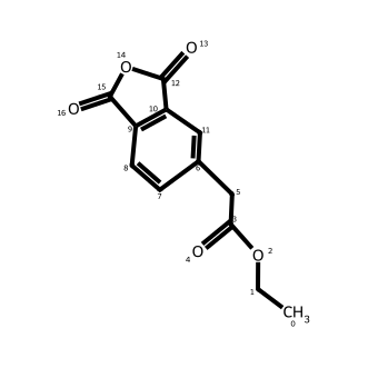 CCOC(=O)Cc1ccc2c(c1)C(=O)OC2=O